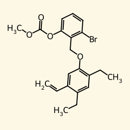 C=Cc1cc(OCc2c(Br)cccc2OC(=O)OC)c(CC)cc1CC